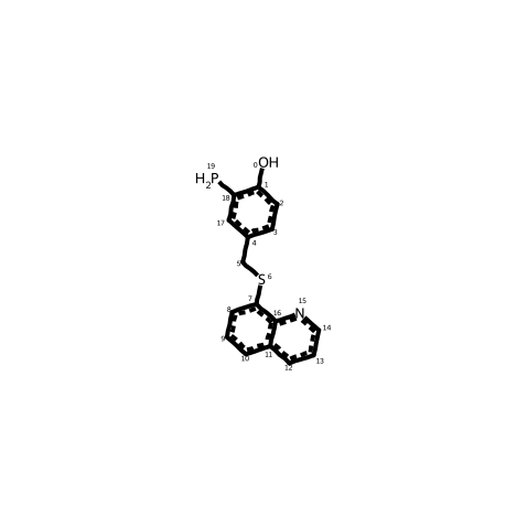 Oc1ccc(CSc2cccc3cccnc23)cc1P